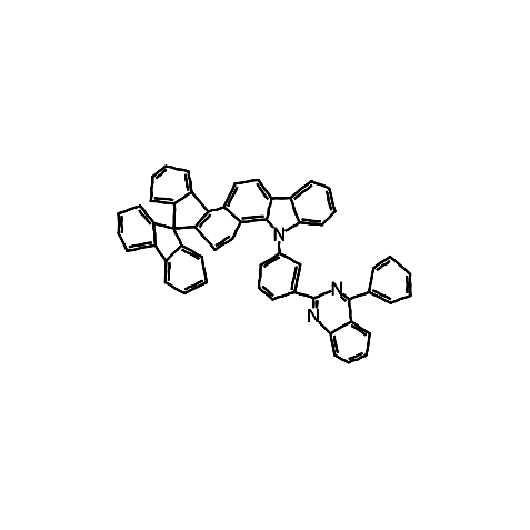 c1ccc(-c2nc(-c3cccc(-n4c5ccccc5c5ccc6c7c(ccc6c54)C4(c5ccccc5-c5ccccc54)c4ccccc4-7)c3)nc3ccccc23)cc1